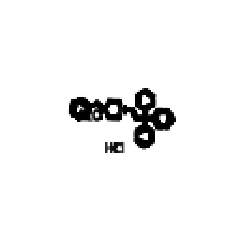 CC(=O)OC1(Cc2ccccc2)CCN(CCC(c2ccccc2)(c2ccccc2)c2ccccc2)CC1.Cl